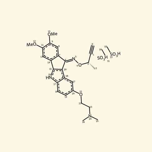 C#C[C@H](C)O/N=C1/c2cc(OC)c(OC)cc2-c2[nH]c3ccc(OCCN(C)C)cc3c21.CS(=O)(=O)O.CS(=O)(=O)O